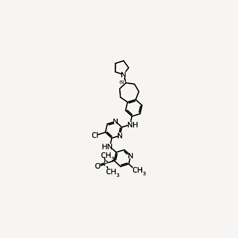 Cc1cc(P(C)(C)=O)c(Nc2nc(Nc3ccc4c(c3)CC[C@@H](N3CCCC3)CC4)ncc2Cl)cn1